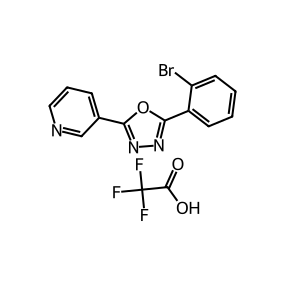 Brc1ccccc1-c1nnc(-c2cccnc2)o1.O=C(O)C(F)(F)F